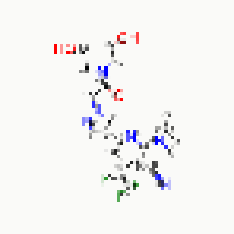 C[C@H]1CCN1c1nc(-c2cnn(CC(=O)N(CCO)CCO)c2)cc(C(F)(F)F)c1C#N